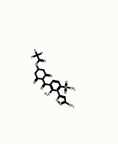 Cc1cc(-c2c(S(C)(=O)=O)ccc(C(=O)C3C(=O)CC(OC(=O)C(F)(F)F)CC3=O)c2C)on1